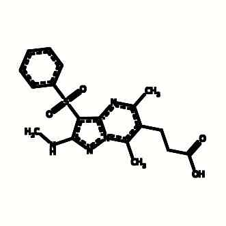 CNc1nn2c(C)c(CCC(=O)O)c(C)nc2c1S(=O)(=O)c1ccccc1